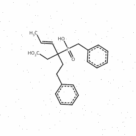 CC=CC(CCc1ccccc1)(CC(=O)O)P(=O)(O)Cc1ccccc1